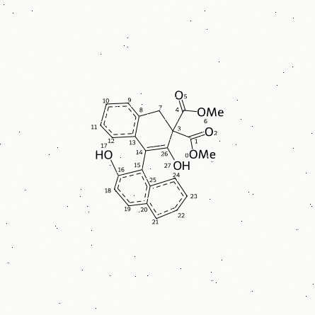 COC(=O)C1(C(=O)OC)Cc2ccccc2C(c2c(O)ccc3ccccc23)=C1O